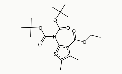 CCOC(=O)c1c(N(C(=O)OC(C)(C)C)C(=O)OC(C)(C)C)sc(C)c1C